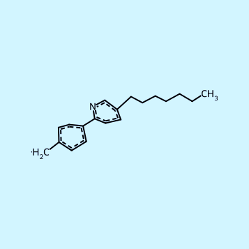 [CH2]c1ccc(-c2ccc(CCCCCCC)cn2)cc1